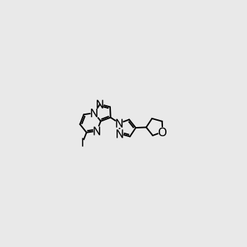 Ic1ccn2ncc(-n3cc(C4CCOC4)cn3)c2n1